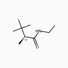 CCNC(=O)[C@@H](C)C(C)(C)C